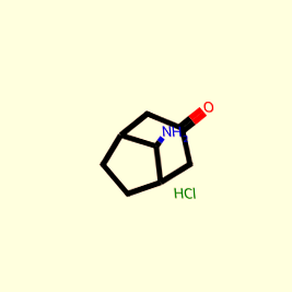 Cl.NC1C2CCC1CC(=O)C2